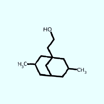 CC1CC2CC(C)CC(CCO)(C1)C2